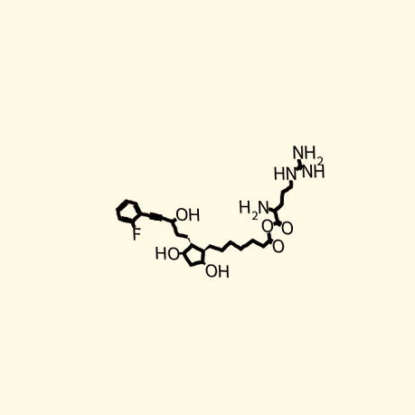 N=C(N)NCCCC(N)C(=O)OC(=O)CCCCCC[C@@H]1[C@@H](CCC(O)C#Cc2ccccc2F)[C@H](O)C[C@@H]1O